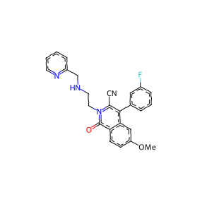 COc1ccc2c(=O)n(CCNCc3ccccn3)c(C#N)c(-c3cccc(F)c3)c2c1